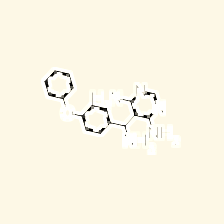 Nc1ncnc(N)c1C(N)c1ccc(Oc2ccccc2)cc1